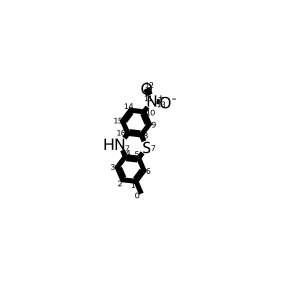 Cc1ccc2c(c1)Sc1cc([N+](=O)[O-])ccc1N2